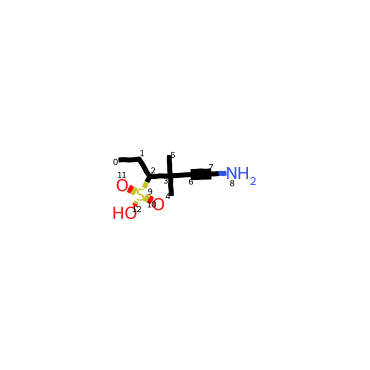 CCC(C(C)(C)C#CN)S(=O)(=O)O